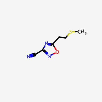 CSCCc1nc(C#N)no1